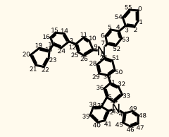 c1ccc(-c2ccc(N(c3ccc(-c4cccc(-c5ccccc5)c4)cc3)c3ccc(-c4ccc5c(c4)c4ccccc4n5-c4ccccc4)cc3)cc2)cc1